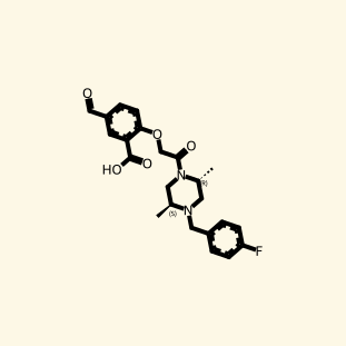 C[C@@H]1CN(Cc2ccc(F)cc2)[C@@H](C)CN1C(=O)COc1ccc(C=O)cc1C(=O)O